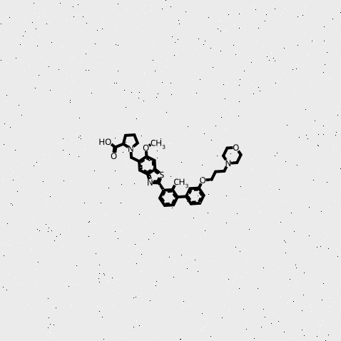 COc1cc2sc(-c3cccc(-c4cccc(OCCCN5CCOCC5)c4)c3C)nc2cc1CN1CCCC1C(=O)O